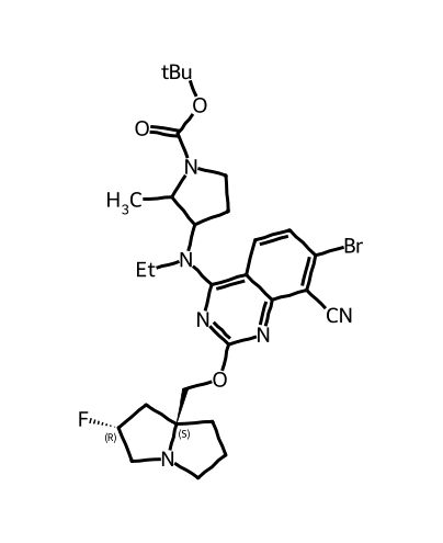 CCN(c1nc(OC[C@@]23CCCN2C[C@H](F)C3)nc2c(C#N)c(Br)ccc12)C1CCN(C(=O)OC(C)(C)C)C1C